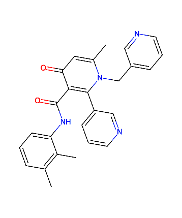 Cc1cccc(NC(=O)c2c(-c3cccnc3)n(Cc3cccnc3)c(C)cc2=O)c1C